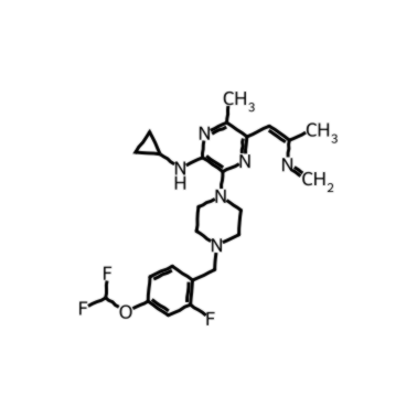 C=N/C(C)=C\c1nc(N2CCN(Cc3ccc(OC(F)F)cc3F)CC2)c(NC2CC2)nc1C